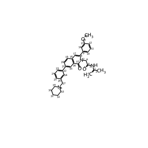 C=C(C)NC(=O)Cn1c(-c2cccc(OC)c2)cc2ccc(-c3cccc(CN4CCCCC4)c3)cc2c1=O